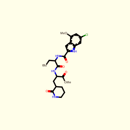 COC(=O)C(CC1CCCNC1=O)NC(=O)C(CC(C)(C)C)NC(=O)c1cc2c(OC)cc(Cl)cc2[nH]1